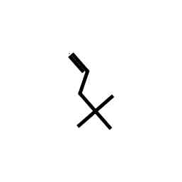 [CH]=CCC(C)(C)C